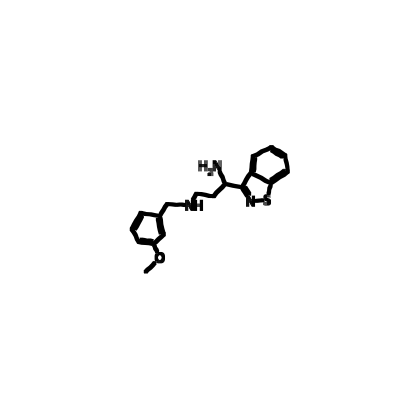 COc1cccc(CNCCC(N)c2nsc3ccccc23)c1